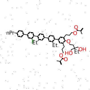 C=C(C)C(=O)OCCCc1cc(-c2ccc(-c3ccc(-c4ccc(-c5ccc(CCC)cc5)cc4F)c(CC)c3)cc2CC)cc(CCCOC(=O)C(=C)C)c1OCCC(CC)(CO)CO